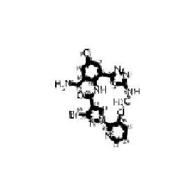 CNc1nnc(-c2cc(Cl)cc(CN)c2NC(=O)c2cn(-c3ncccc3Cl)nc2Br)s1